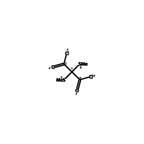 CSC(SC)(C(=O)Cl)C(=O)Cl